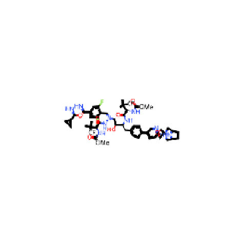 COC(=O)N[C@H](C(=O)N[C@@H](Cc1ccc(-c2ccc(N3CC4CCC(C3)N4C3COC3)nc2)cc1)[C@@H](O)CN(Cc1c(F)cc(C(=N)OC(=N)C2CC2)cc1F)NC(=O)[C@@H](NC(=O)OC)C(C)(C)C(F)(F)F)C(C)(C)C(F)(F)F